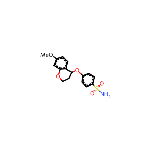 COc1ccc2c(c1)OCCC2Oc1ccc(S(N)(=O)=O)cc1